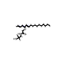 C/C=C/C=C(/C=C/CCCCCCCCCC)OCC(=O)NCC(C)(C)S